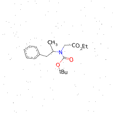 CCOC(=O)CN(C(=O)OC(C)(C)C)C(C)Cc1ccccc1